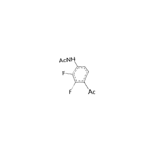 CC(=O)Nc1ccc(C(C)=O)c(F)c1F